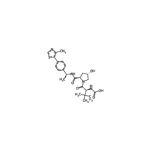 Cc1ncsc1-c1ccc([C@H](C)NC(=O)[C@H]2C[C@H](O)CN2C(=O)[C@@H](NC(=O)O)C(C)(C)C)cc1